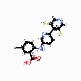 Cc1ccc(Nc2ccc(-c3c(F)cncc3F)nc2)c(C(=O)O)c1